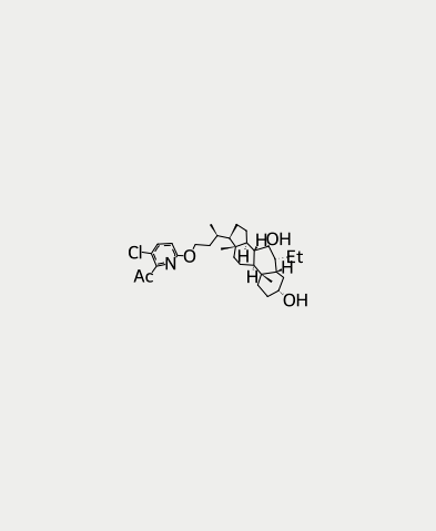 CC[C@H]1[C@@H](O)[C@@H]2[C@H](CC[C@]3(C)[C@@H]([C@H](C)CCOc4ccc(Cl)c(C(C)=O)n4)CC[C@@H]23)[C@@]2(C)CC[C@@H](O)C[C@@H]12